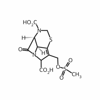 CS(=O)(=O)OCC1=C2SCN(C(=O)O)[C@@H]3C(=O)N(C1C(=O)O)[C@H]23